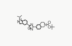 CC(C)n1ncc2cc(-c3nc(-c4ccc5c(c4)CCN(C(=O)OC(C)(C)C)C5)no3)ccc21